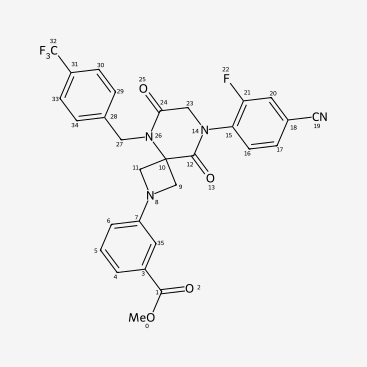 COC(=O)c1cccc(N2CC3(C2)C(=O)N(c2ccc(C#N)cc2F)CC(=O)N3Cc2ccc(C(F)(F)F)cc2)c1